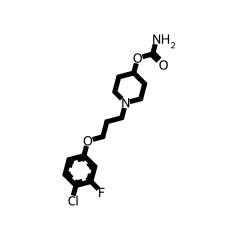 NC(=O)OC1CCN(CCCOc2ccc(Cl)c(F)c2)CC1